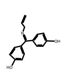 C=CCN=C(c1ccc(O)cc1)c1ccc(O)cc1